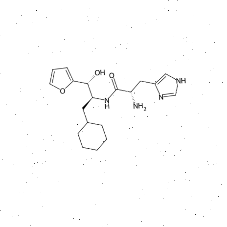 N[C@@H](Cc1c[nH]cn1)C(=O)N[C@@H](CC1CCCCC1)[C@@H](O)c1ccco1